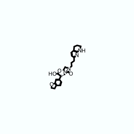 O=C(O)[C@H](CN1CCN(CCCc2ccc3c(n2)NCCC3)C1=O)c1ccc2c(c1)OCC2